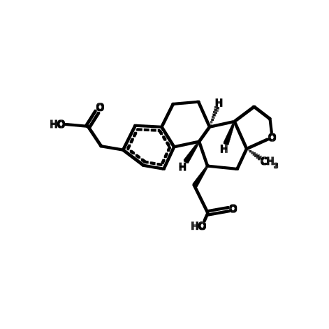 C[C@]12C[C@@H](CC(=O)O)[C@@H]3c4ccc(CC(=O)O)cc4CC[C@H]3[C@@H]1CCO2